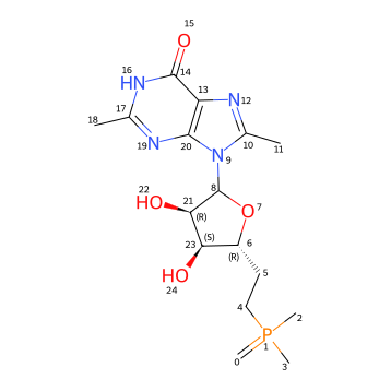 C=P(C)(C)CC[C@H]1OC(n2c(C)nc3c(=O)[nH]c(C)nc32)[C@H](O)[C@@H]1O